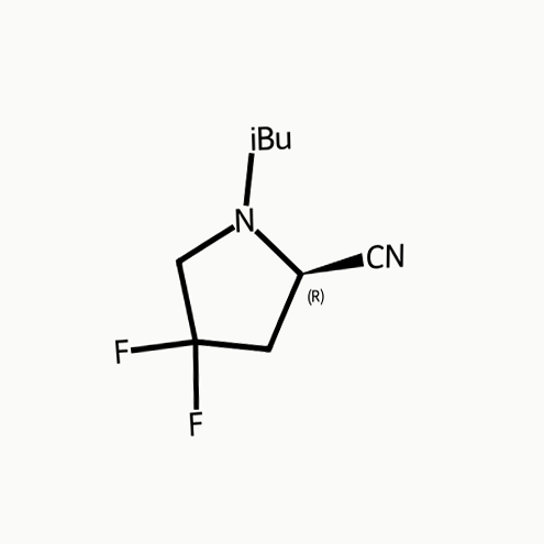 CCC(C)N1CC(F)(F)C[C@@H]1C#N